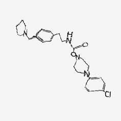 O=C(NCCc1ccc(CN2CCCC2)cc1)ON1CCN(c2ccc(Cl)cc2)CC1